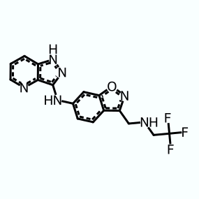 FC(F)(F)CNCc1noc2cc(Nc3n[nH]c4cccnc34)ccc12